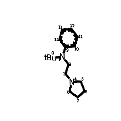 CC(C)(C)N(CCN1CCCC1)c1ccccc1